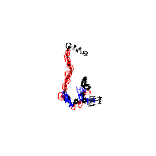 CCN(CC)c1ccc(NC(=O)c2cccc(C(=O)N(C)CCN3CCN(CCOCCOCCOCCOCCOCCOCCOC)C(=O)C3)c2)c(-c2cc(C(=O)N[C@H]3CCCc4ccccc43)ccn2)c1